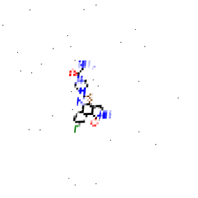 NCC(=O)N1CCN(c2nc3c4ccc(F)cc4c4c(=O)[nH]ccc4c3s2)CC1